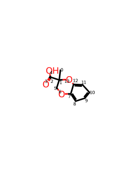 CC1(C(=O)O)COc2ccccc2O1